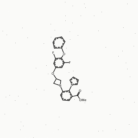 COC(=O)c1cccc(N2CC(Oc3cc(F)c(Oc4ccccc4)c(F)c3)C2)c1-n1cccc1